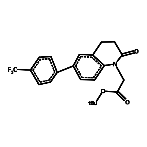 CC(C)(C)OC(=O)CN1C(=O)CCc2cc(-c3ccc(C(F)(F)F)cc3)ccc21